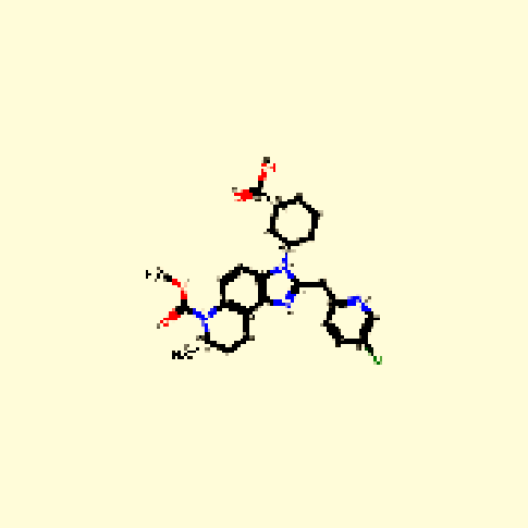 COC(=O)N1c2ccc3c(nc(Cc4ccc(Cl)cn4)n3[C@@H]3CCC[C@@H](C(=O)O)C3)c2CC[C@@H]1C